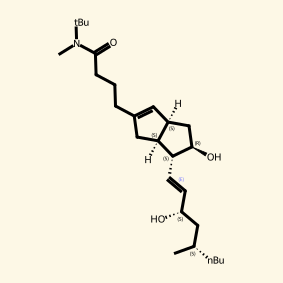 CCCC[C@H](C)C[C@H](O)/C=C/[C@@H]1[C@H]2CC(CCCC(=O)N(C)C(C)(C)C)=C[C@H]2C[C@H]1O